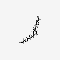 C=CCOCCOCC1CCC(OCCOCC=C)C1